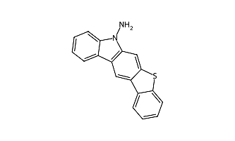 Nn1c2ccccc2c2cc3c(cc21)sc1ccccc13